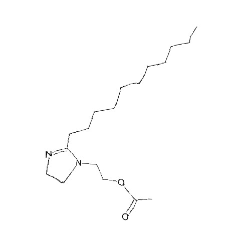 CCCCCCCCCCCC1=NCCN1CCOC(C)=O